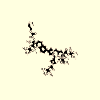 C=CCOC(=O)NOC(C)(C(=O)OC(C)(C)C)[C@H]1CCc2cc(-c3cn(CC(CNC(=O)OC(C)(C)C)O[Si](C)(C)C(C)(C)C)[n+](CC4CN(C(=O)OC(C)(C)C)C4)c3)ccc2O1